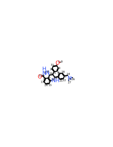 COc1ccc(C2c3n[nH]c(=O)c4cccc(c34)NC2c2ccc(CN(C)C)cc2)cc1